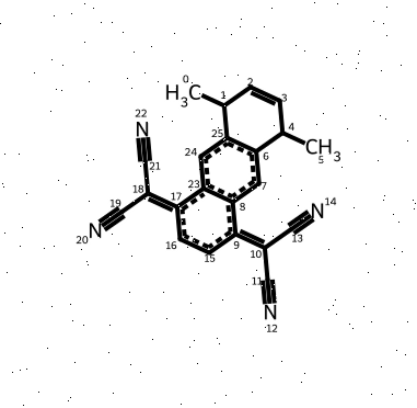 CC1C=CC(C)c2cc3c(=C(C#N)C#N)ccc(=C(C#N)C#N)c3cc21